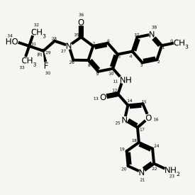 Cc1ccc(-c2cc3c(cc2NC(=O)c2coc(-c4ccnc(N)c4)n2)CN(C[C@@H](F)C(C)(C)O)C3=O)cn1